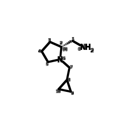 NC[C@H]1CCCN1CC1CC1